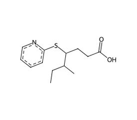 CCC(C)C(CCC(=O)O)Sc1ccccn1